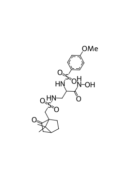 COc1ccc(S(=O)(=O)NC(CNS(=O)(=O)CC23CCC(CC2=O)C3(C)C)C(=O)NO)cc1